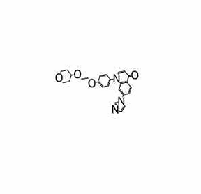 O=c1ccn(-c2ccc(OCCOC3CCOCC3)cc2)c2cc(-n3ccnc3)ccc12